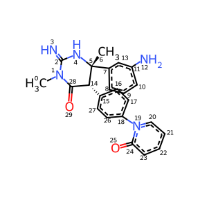 CN1C(=N)N[C@](C)(c2cccc(N)c2)[C@H](c2ccc(-n3ccccc3=O)cc2)C1=O